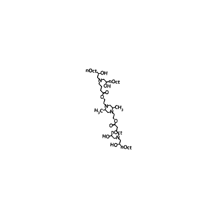 CCCCCCCCC(O)CN(CCCC(=O)OCCN1CC(C)N(CCOC(=O)CCCN(CC(O)CCCCCCCC)CC(O)CCCCCCCC)CC1C)CC(O)CCCCCCCC